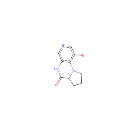 O=C1Nc2cncc(Br)c2N2CCCC12